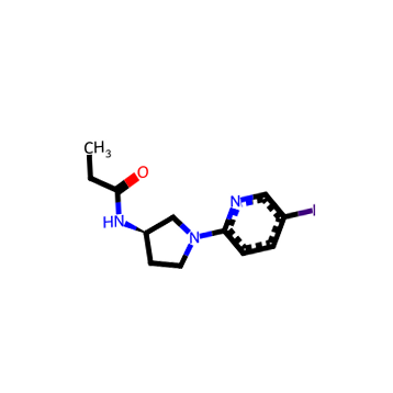 CCC(=O)N[C@@H]1CCN(c2ccc(I)cn2)C1